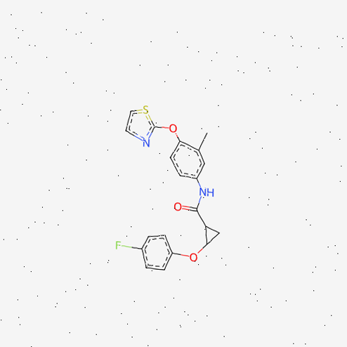 Cc1cc(NC(=O)C2CC2Oc2ccc(F)cc2)ccc1Oc1nccs1